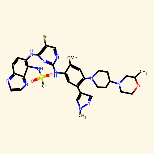 COc1cc(N2CCC(N3CCOC(C)C3)CC2)c(-c2cnn(C)c2)cc1Nc1ncc(Br)c(Nc2ccc3nccnc3c2NS(C)(=O)=O)n1